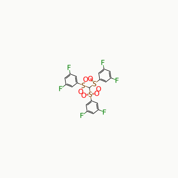 O=S(=O)(c1cc(F)cc(F)c1)C(S(=O)(=O)c1cc(F)cc(F)c1)S(=O)(=O)c1cc(F)cc(F)c1